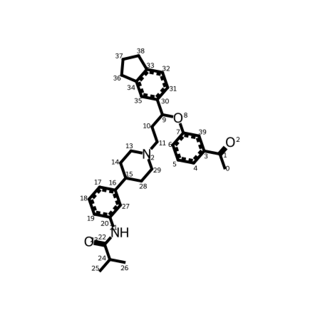 CC(=O)c1cccc(OC(CCN2CCC(c3cccc(NC(=O)C(C)C)c3)CC2)c2ccc3c(c2)CCC3)c1